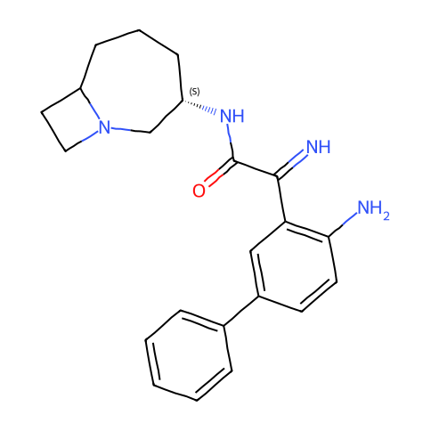 N=C(C(=O)N[C@H]1CCCC2CCN2C1)c1cc(-c2ccccc2)ccc1N